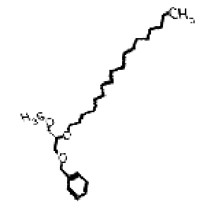 CCCCCCCCCCCCCCCCCCO[C@@H](COC)COCc1ccccc1